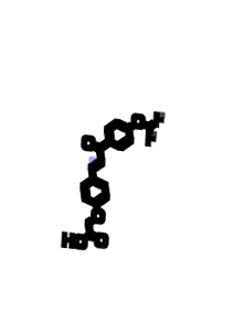 O=C(O)COc1ccc(/C=C/C(=O)c2ccc(OC(F)F)cc2)cc1